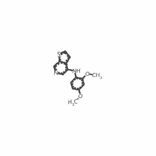 COc1ccc(Nc2cncc3sccc23)c(OC)c1